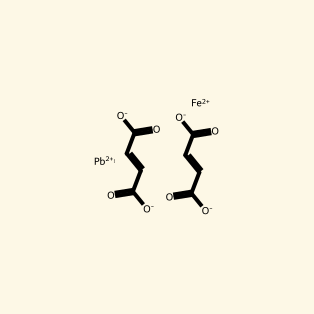 O=C([O-])C=CC(=O)[O-].O=C([O-])C=CC(=O)[O-].[Fe+2].[Pb+2]